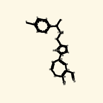 Cc1ccc(C(C)NCc2ccc(C3=CC(C=O)=C(Cl)CC=C3)o2)cc1